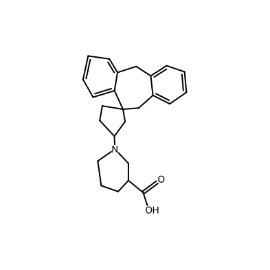 O=C(O)C1CCCN(C2CCC3(Cc4ccccc4Cc4ccccc43)C2)C1